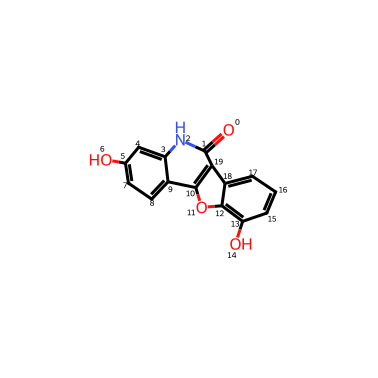 O=c1[nH]c2cc(O)ccc2c2oc3c(O)cccc3c12